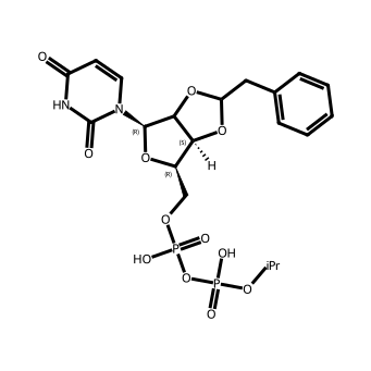 CC(C)OP(=O)(O)OP(=O)(O)OC[C@H]1O[C@@H](n2ccc(=O)[nH]c2=O)C2OC(Cc3ccccc3)O[C@H]21